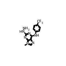 Cn1cnc2c(Nc3ccc(C(F)(F)F)cc3)nc(NN)nc21